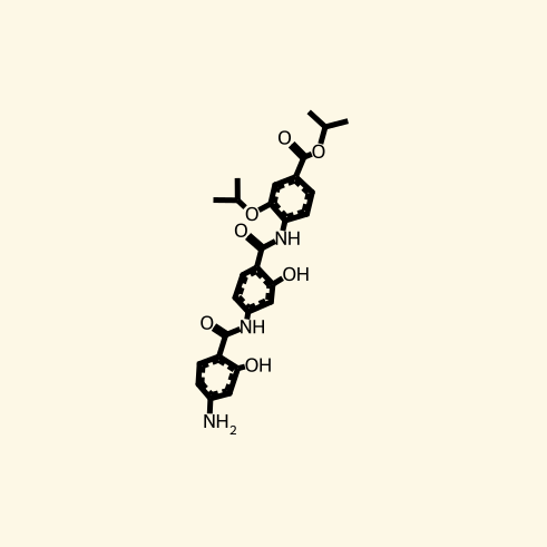 CC(C)OC(=O)c1ccc(NC(=O)c2ccc(NC(=O)c3ccc(N)cc3O)cc2O)c(OC(C)C)c1